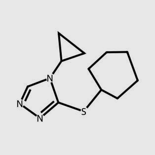 c1nnc(SC2CCCCC2)n1C1CC1